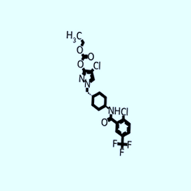 CCOC(=O)Oc1nn(C[C@H]2CC[C@H](NC(=O)c3cc(C(F)(F)F)ccc3Cl)CC2)cc1Cl